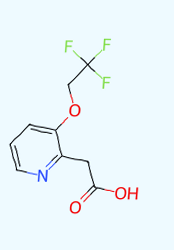 O=C(O)Cc1ncccc1OCC(F)(F)F